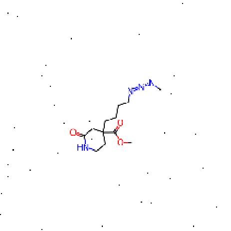 CN=[N+]=NCCCCC1(C(=O)OC)CCNC(=O)C1